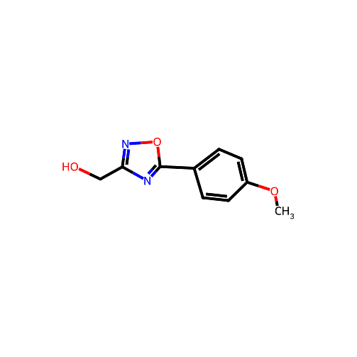 COc1ccc(-c2nc(CO)no2)cc1